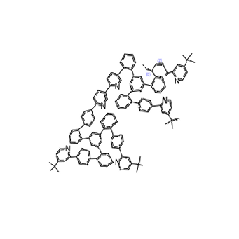 C=C(/C=C\C(=C/C)c1ccccc1-c1cc(-c2ccccc2-c2ccc(-c3cc(C(C)(C)C)ccn3)cc2)cc(-c2ccccc2-c2ccc(-c3ccc(-c4ccc(-c5ccccc5-c5cc(-c6ccccc6-c6ccc(-c7cc(C(C)(C)C)ccn7)cc6)cc(-c6ccccc6-c6ccc(-c7cc(C(C)(C)C)ccn7)cc6)c5)cc4)nc3)nc2)c1)c1cc(C(C)(C)C)ccn1